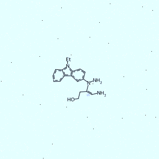 CCn1c2ccccc2c2cc(N(N)/C(=C\N)CCO)ccc21